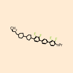 C=CCCC1CCC(C2CCC(c3ccc(-c4ccc(-c5ccc(CCC)c(F)c5F)cc4)c(F)c3F)CC2)CC1